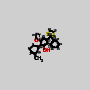 CC1=CCC[C@H](c2c(O)cc(C3(c4ccccc4)SCCS3)cc2OC(C)C)C1